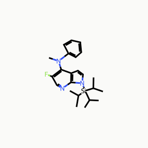 CC(C)[Si](C(C)C)(C(C)C)n1ccc2c(N(C)c3ccccc3)c(F)cnc21